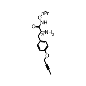 CC#CCOc1ccc(C[C@H](N)C(=O)NOCCC)cc1